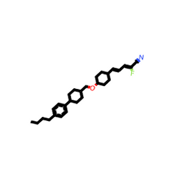 CCCCc1ccc(C2CCC(COC3CCC(C=CC=C(F)C#N)CC3)CC2)cc1